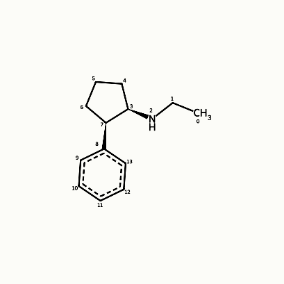 CCN[C@@H]1CCC[C@@H]1c1ccccc1